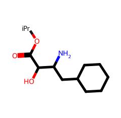 CC(C)OC(=O)C(O)C(N)CC1CCCCC1